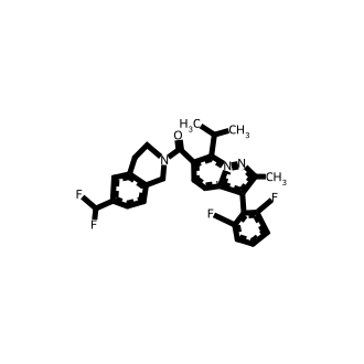 Cc1nn2c(C(C)C)c(C(=O)N3CCc4cc(C(F)F)ccc4C3)ccc2c1-c1c(F)cccc1F